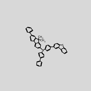 CC1(C)c2cc(-c3ccccc3)ccc2-c2ccc(N(c3ccc(-c4ccccc4)cc3)c3ccc(-c4ccc5sc6ccccc6c5c4)cc3)cc21